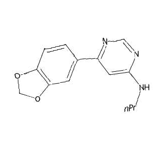 CCCNc1cc(-c2ccc3c(c2)OCO3)ncn1